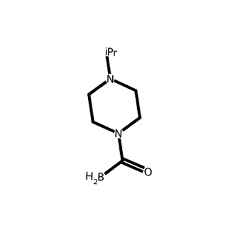 BC(=O)N1CCN(C(C)C)CC1